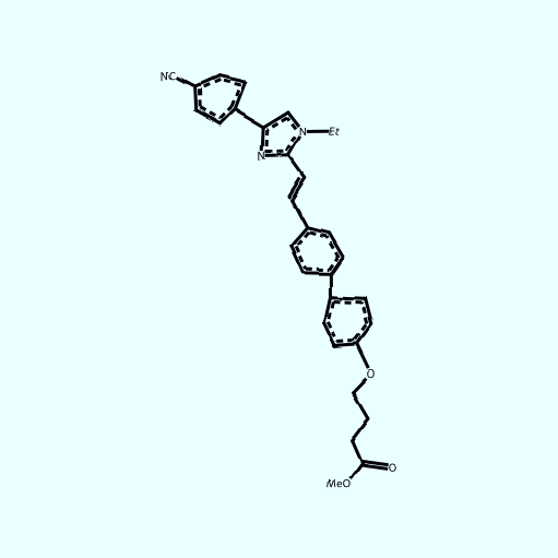 CCn1cc(-c2ccc(C#N)cc2)nc1/C=C/c1ccc(-c2ccc(OCCCC(=O)OC)cc2)cc1